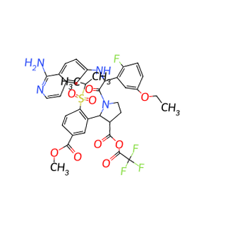 CCOc1ccc(F)c([C@H](Nc2ccc3c(N)nccc3c2)C(=O)N2CCC(C(=O)OC(=O)C(F)(F)F)C2c2cc(C(=O)OC)ccc2S(=O)(=O)C(C)C)c1